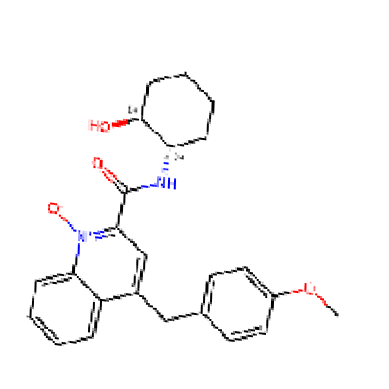 COc1ccc(Cc2cc(C(=O)N[C@H]3CCCC[C@@H]3O)[n+]([O-])c3ccccc23)cc1